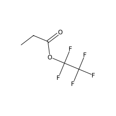 CCC(=O)OC(F)(F)C(F)(F)F